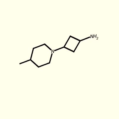 CC1CCN(C2CC(N)C2)CC1